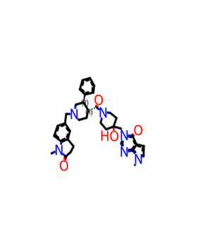 CN1C(=O)CCc2cc(CN3CC[C@@H](C(=O)N4CCC(O)(Cn5cnc6c(ccn6C)c5=O)CC4)[C@H](c4ccccc4)C3)ccc21